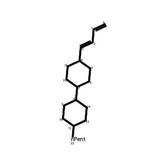 C=C/C=C/C1CCC(C2CCC(CCCCC)CC2)CC1